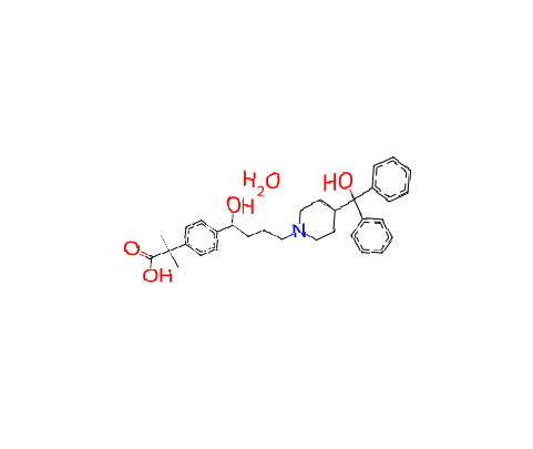 CC(C)(C(=O)O)c1ccc(C(O)CCCN2CCC(C(O)(c3ccccc3)c3ccccc3)CC2)cc1.O